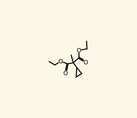 CCOC(=O)C(C)(C(=O)OCC)C1CC1